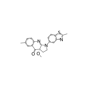 CO[C@@]12CCN(c3ccc4sc(C)nc4c3)C1=Nc1ccc(C)cc1C2=O